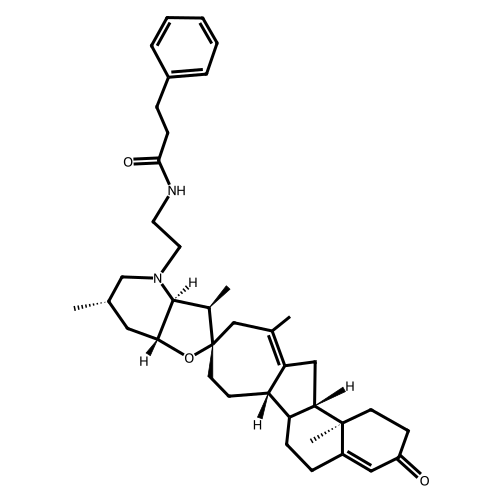 CC1=C2C[C@H]3C(CCC4=CC(=O)CC[C@@]43C)[C@@H]2CC[C@@]2(C1)O[C@@H]1C[C@H](C)CN(CCNC(=O)CCc3ccccc3)[C@H]1[C@H]2C